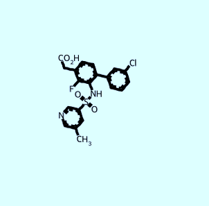 Cc1cncc(S(=O)(=O)Nc2c(-c3cccc(Cl)c3)ccc(CC(=O)O)c2F)c1